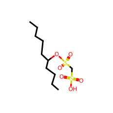 CCCCCC(CCCC)OS(=O)(=O)CS(=O)(=O)O